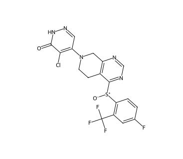 O=c1[nH]ncc(N2CCc3c(ncnc3[S+]([O-])c3ccc(F)cc3C(F)(F)F)C2)c1Cl